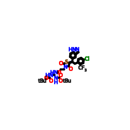 CC(C)(C)OC(=O)NC(NOCCN1C(=O)S/C(=C(/Cc2ccc(Cl)cc2C(F)(F)F)c2ccc3[nH]ncc3c2)C1=O)NC(=O)OC(C)(C)C